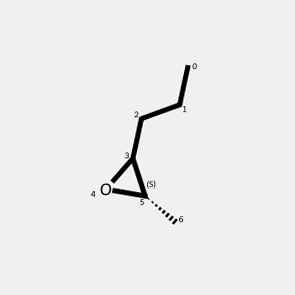 CCCC1O[C@H]1C